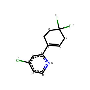 FC1(F)CC=C(c2cc(Cl)ccn2)CC1